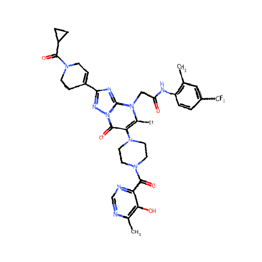 CCc1c(N2CCN(C(=O)c3ncnc(C)c3O)CC2)c(=O)n2nc(C3=CCN(C(=O)C4CC4)CC3)nc2n1CC(=O)Nc1ccc(C(F)(F)F)cc1C